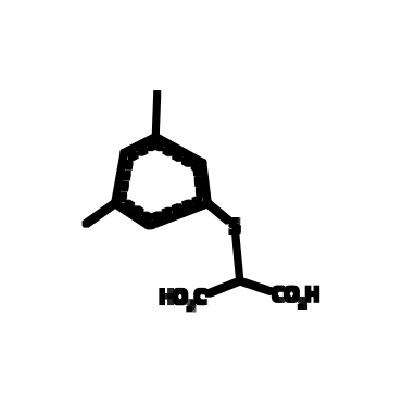 Cc1cc(C)cc(SC(C(=O)O)C(=O)O)c1